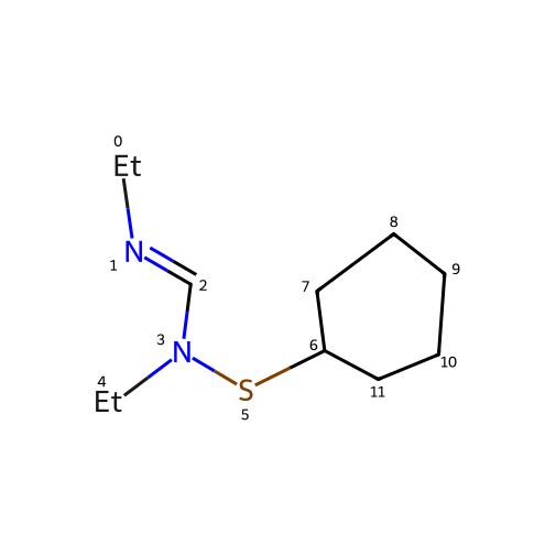 CC/N=C/N(CC)SC1CCCCC1